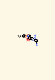 Cc1ccc(S(=O)(=O)n2ccc3c(Cc4nc5cc(C#N)ccc5[nH]4)c(C)cc(CO)c32)cc1